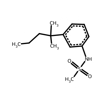 CCCC(C)(C)c1cccc(NS(C)(=O)=O)c1